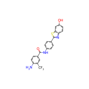 Nc1ccc(C(=O)Nc2ccc(-c3nc4ccc(O)cc4s3)cc2)cc1C(F)(F)F